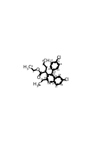 CCCC(C(=O)OCC)c1c(CC)nc2ccc(Cl)cc2c1-c1ccc(Cl)cc1